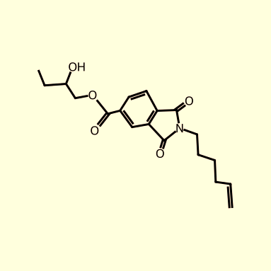 C=CCCCCN1C(=O)c2ccc(C(=O)OCC(O)CC)cc2C1=O